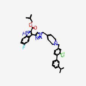 CC(C)COC(=O)c1[nH]c2ccc(F)cc2c1-c1cn(CC2CCN(Cc3ccc(-c4cccc(C(C)C)c4)c(Cl)c3)CC2)nn1